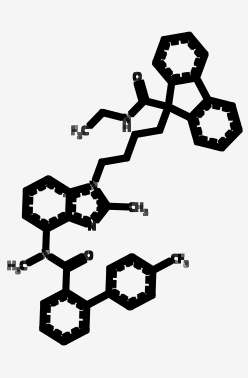 Cc1nc2c(N(C)C(=O)c3ccccc3-c3ccc(C(F)(F)F)cc3)cccc2n1CCCCC1(C(=O)NCC(F)(F)F)c2ccccc2-c2ccccc21